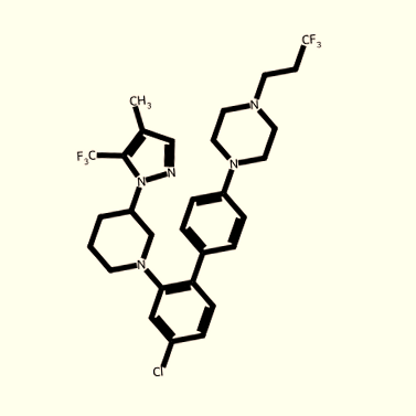 Cc1cnn(C2CCCN(c3cc(Cl)ccc3-c3ccc(N4CCN(CCC(F)(F)F)CC4)cc3)C2)c1C(F)(F)F